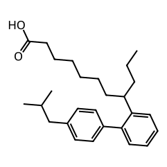 CCCC(CCCCCCC(=O)O)c1ccccc1-c1ccc(CC(C)C)cc1